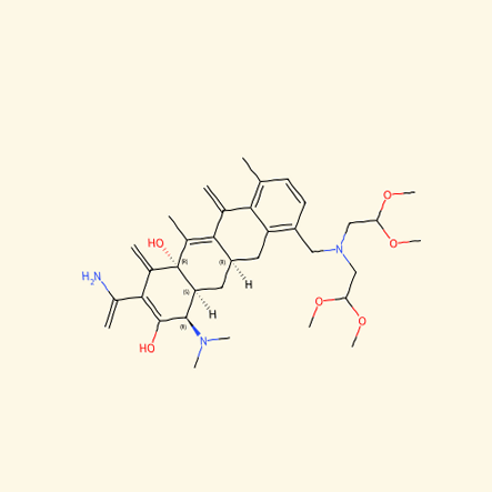 C=C(N)C1=C(O)[C@H](N(C)C)[C@@H]2C[C@@H]3Cc4c(CN(CC(OC)OC)CC(OC)OC)ccc(C)c4C(=C)C3=C(C)[C@]2(O)C1=C